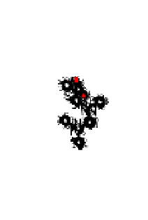 c1ccc(-c2cc(-c3cccc(-c4nc(-c5ccccc5)nc(-c5ccc6c(c5)C5(c7ccccc7S6)c6ccccc6-c6ccccc65)n4)c3)nc(-c3ccccc3)n2)cc1